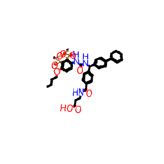 CCCCOc1ccc(NC(=O)NC(c2ccc(C(=O)NCCC(=O)O)cc2)c2ccc(C3=CCCCC3)cc2)c(S(C)(=O)=O)c1S(C)(=O)=O